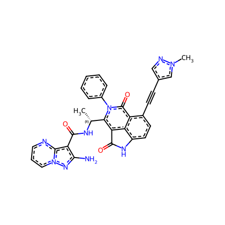 C[C@@H](NC(=O)c1c(N)nn2cccnc12)c1c2c3c(ccc(C#Cc4cnn(C)c4)c3c(=O)n1-c1ccccc1)NC2=O